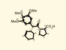 COc1cc(C(C(=O)N2CCCC2C(=O)O)[C@H]2C=CCCC2)cc(OC)c1OC